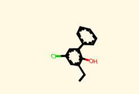 CCc1cc(Cl)cc(-c2ccccc2)c1O